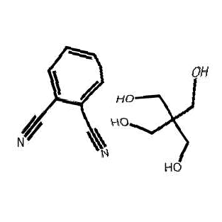 N#Cc1ccccc1C#N.OCC(CO)(CO)CO